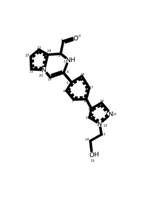 O=CC1NC(c2ccc(-c3cnn(CCO)c3)cc2)=Cn2cccc21